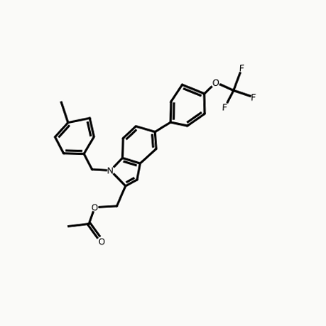 CC(=O)OCc1cc2cc(-c3ccc(OC(F)(F)F)cc3)ccc2n1Cc1ccc(C)cc1